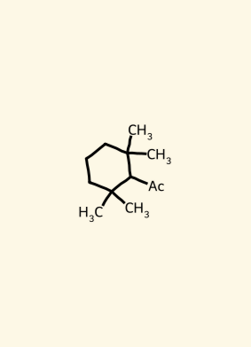 CC(=O)C1C(C)(C)CCCC1(C)C